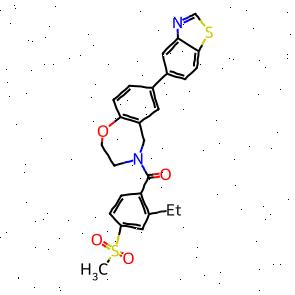 CCc1cc(S(C)(=O)=O)ccc1C(=O)N1CCOc2ccc(-c3ccc4scnc4c3)cc2C1